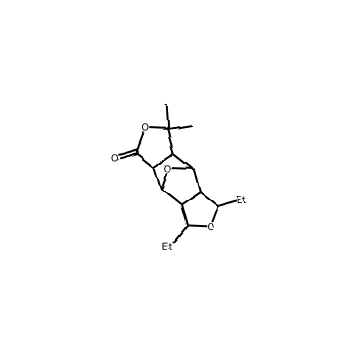 CCC1OC(CC)C2C3OC(C4C(=O)OC(C)(C)C34)C12